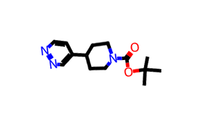 CC(C)(C)OC(=O)N1CCC(c2ccnnc2)CC1